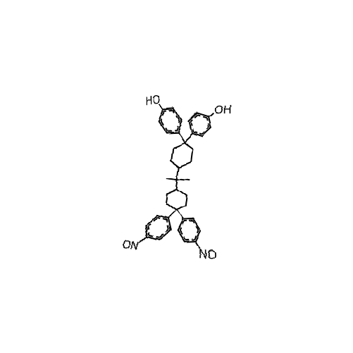 CC(C)(C1CCC(c2ccc(O)cc2)(c2ccc(O)cc2)CC1)C1CCC(c2ccc(N=O)cc2)(c2ccc(N=O)cc2)CC1